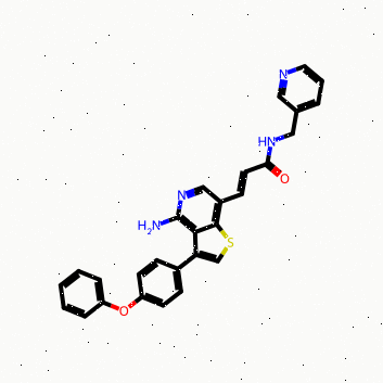 Nc1ncc(C=CC(=O)NCc2cccnc2)c2scc(-c3ccc(Oc4ccccc4)cc3)c12